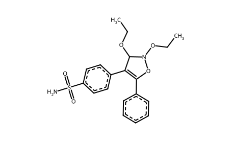 CCOC1C(c2ccc(S(N)(=O)=O)cc2)=C(c2ccccc2)ON1OCC